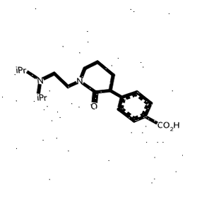 CC(C)N(CCN1CCCC(c2ccc(C(=O)O)cc2)C1=O)C(C)C